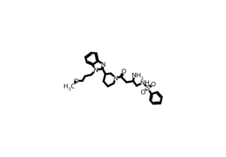 COCCCn1c(C2CCCN(C(=O)CC(N)CNS(=O)(=O)c3ccccc3)C2)nc2ccccc21